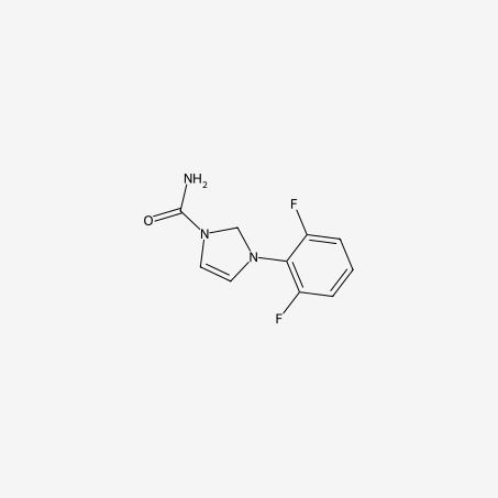 NC(=O)N1C=CN(c2c(F)cccc2F)C1